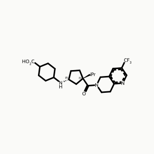 CC(C)[C@]1(C(=O)N2CCc3ncc(C(F)(F)F)cc3C2)CC[C@@H](NC2CCC(C(=O)O)CC2)C1